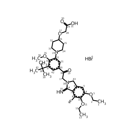 Br.CCOc1cc2c(c(F)c1OCC)C(=N)N(CC(=O)c1cc(N3CCC(OCC(=O)O)CC3)c(OC)c(C(C)(C)C)c1)C2